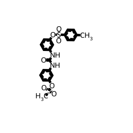 Cc1ccc(S(=O)(=O)Oc2cccc(NC(=O)Nc3cccc(OS(C)(=O)=O)c3)c2)cc1